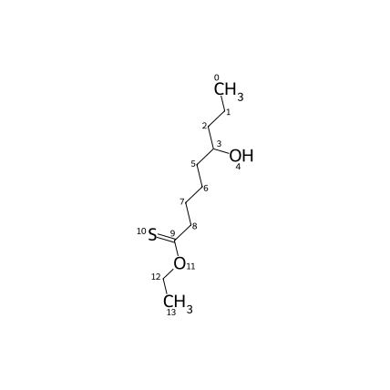 CCCC(O)CCCCC(=S)OCC